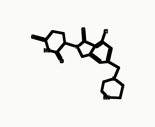 O=C1CCC(N2Cc3cc(CN4CCNCC4)cc(Cl)c3C2=O)C(=O)N1